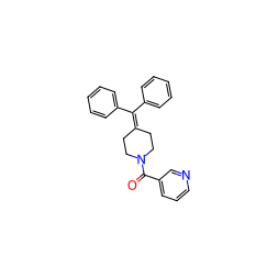 O=C(c1cccnc1)N1CCC(=C(c2ccccc2)c2ccccc2)CC1